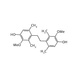 COc1c(O)cc(C)c(CCc2c(C)cc(O)c(OC)c2C)c1C